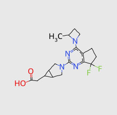 CC1CCN1c1nc(N2CC3C(CC(=O)O)C3C2)nc2c1CCC2(F)F